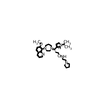 COc1ccc2cccnc2c1N1CCCN([C@@H](CCONCCN2CCCC2)c2ccn(C(C)C)n2)CC1